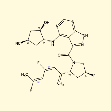 C=C(/C=C(F)\C=C(/C)F)[C@H]1C[C@H](F)CN1C(=O)c1n[nH]c2ncnc(N[C@@H]3C[C@@H](C#N)C[C@H]3O)c12